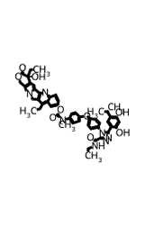 CCNC(=O)c1nnc(-c2cc(C(C)C)c(O)cc2O)n1-c1ccc(Oc2ccc(N(C)C(=O)Oc3ccc4nc5c(c(CC)c4c3)CN3CC4=C(C=C53)[C@@](O)(CC)C(=O)OC4)cc2)cc1